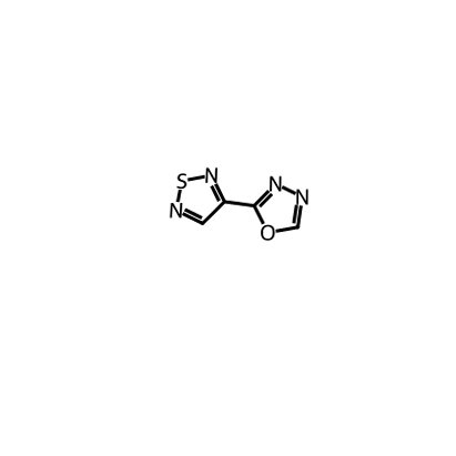 c1nnc(-c2cnsn2)o1